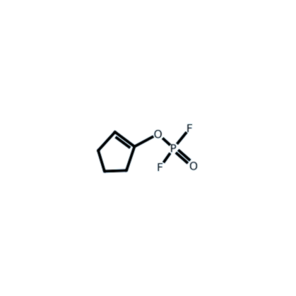 O=P(F)(F)OC1=CCCC1